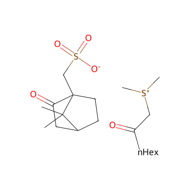 CC1(C)C2CCC1(CS(=O)(=O)[O-])C(=O)C2.CCCCCCC(=O)C[S+](C)C